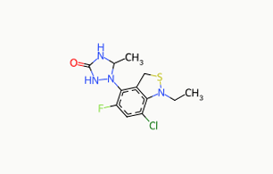 CCN1SCc2c1c(Cl)cc(F)c2N1NC(=O)NC1C